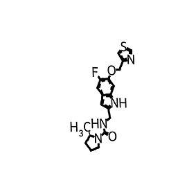 C[C@H]1CCCN1C(=O)NCc1cc2cc(F)c(OCc3cscn3)cc2[nH]1